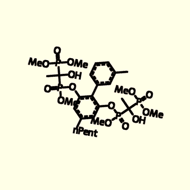 CCCCCc1cc(OP(=O)(OC)C(C)(O)P(=O)(OC)OC)c(-c2cccc(C)c2)c(OP(=O)(OC)C(C)(O)P(=O)(OC)OC)c1